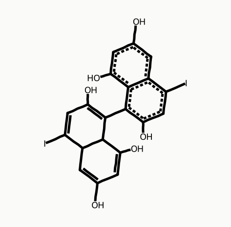 OC1=CC2C(I)=CC(O)=C(c3c(O)cc(I)c4cc(O)cc(O)c34)C2C(O)=C1